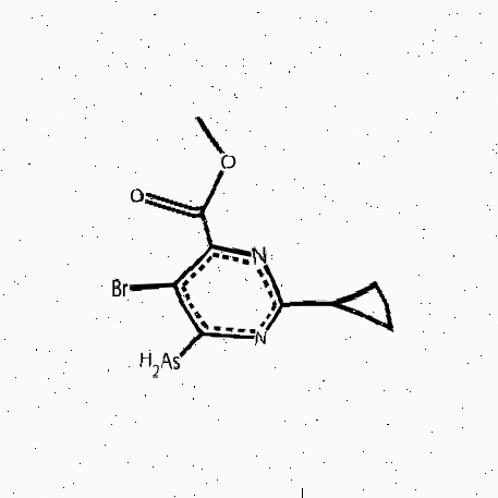 COC(=O)c1nc(C2CC2)nc([AsH2])c1Br